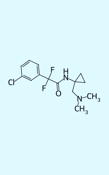 CN(C)CC1(NC(=O)C(F)(F)c2cccc(Cl)c2)CC1